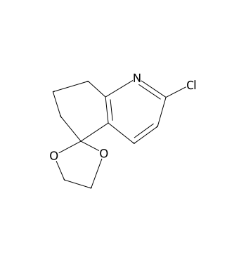 Clc1ccc2c(n1)CCCC21OCCO1